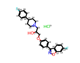 Cl.OC(COc1ccc(-c2noc3cc(F)ccc23)cc1)CN1CCC(c2ccc(F)cc2)CC1